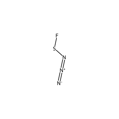 [N-]=[N+]=NSF